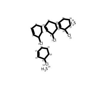 ClC1C=CCCC1.ClC1C=CCCC1.ClC1C=CCCC1.ClC1C=CCCC1.S.S